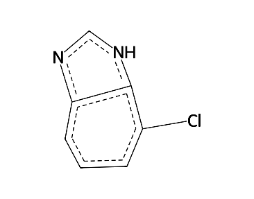 Clc1cccc2nc[nH]c12